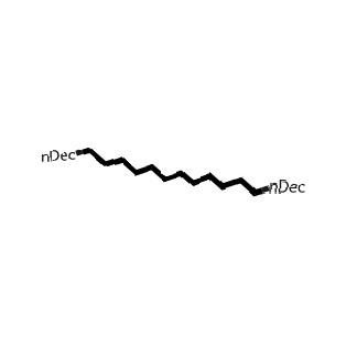 C[CH]CCCCCCCCCCCCCCCCCCCCCCCCCCCCCC